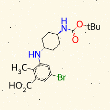 Cc1c(N[C@H]2CC[C@H](NC(=O)OC(C)(C)C)CC2)cc(Br)cc1C(=O)O